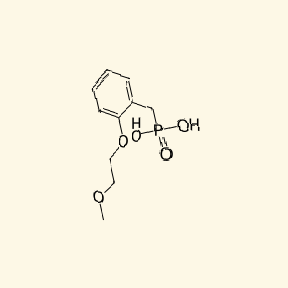 COCCOc1ccccc1CP(=O)(O)O